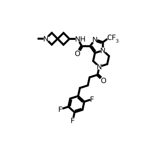 CN1CC2(CC(NC(=O)c3nc(C(F)(F)F)n4c3CN(C(=O)CCCc3cc(F)c(F)cc3F)CC4)C2)C1